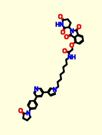 O=C(COc1cccc2c1C(=O)N(C1CCC(=O)NC1=O)C2=O)NCCCCCCCCn1ccc(-c2cncc(-c3ccc(N4CCCC4=O)cc3)c2)c1